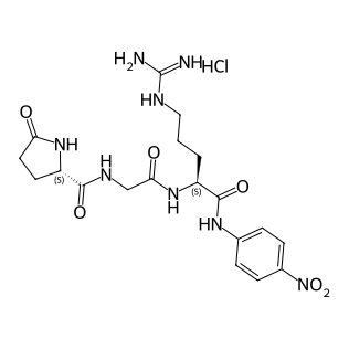 Cl.N=C(N)NCCC[C@H](NC(=O)CNC(=O)[C@@H]1CCC(=O)N1)C(=O)Nc1ccc([N+](=O)[O-])cc1